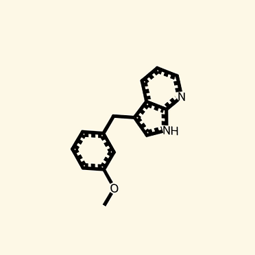 COc1cccc(Cc2c[nH]c3ncccc23)c1